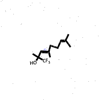 CC(C)=CCC/C(C)=C/C(C)(O)C(F)(F)F